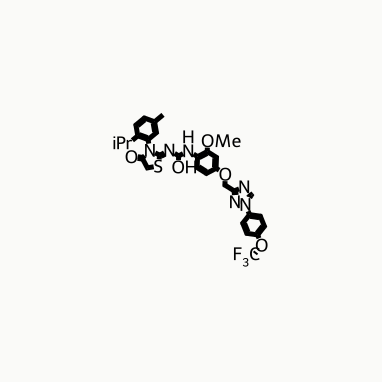 COc1cc(OCc2ncn(-c3ccc(OC(F)(F)F)cc3)n2)ccc1NC(O)/N=C1\SCC(=O)N1c1cc(C)ccc1C(C)C